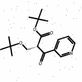 CC(C)(C)OC[C@H](C(=O)OC(C)(C)C)C(=O)c1cccnc1